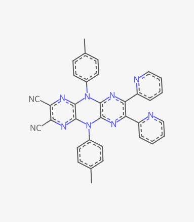 Cc1ccc(N2c3nc(C#N)c(C#N)nc3N(c3ccc(C)cc3)c3nc(-c4ccccn4)c(-c4ccccn4)nc32)cc1